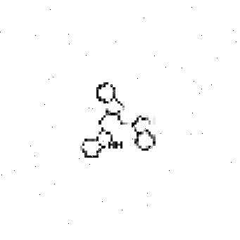 c1ccc2c(c1)NCC2Cc1c(Cc2c[nH]c3ccccc23)[nH]c2ccccc12